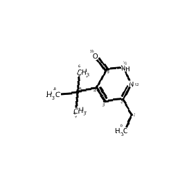 CCc1cc(C(C)(C)C)c(=O)[nH]n1